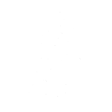 N#Cc1cccc(-n2c3ccccc3c3ccccc32)c1-c1ccc(-c2cccc(-n3c4ccccc4c4ccccc43)c2)cc1